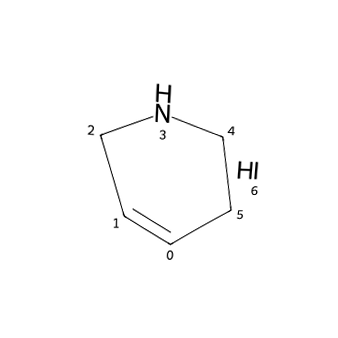 C1=CCNCC1.I